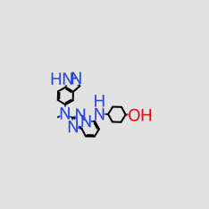 CN(c1ccc2[nH]ncc2c1)c1nc2cccc(NC3CCC(O)CC3)n2n1